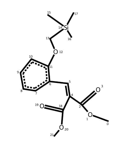 COC(=O)C(=Cc1ccccc1OC[Si](C)(C)C)C(=O)OC